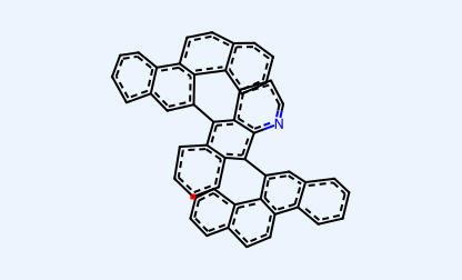 c1ccc2c(c1)cc(-c1c3ccccc3c(-c3cc4ccccc4c4ccc5ccccc5c34)c3ncccc13)c1c3ccccc3ccc21